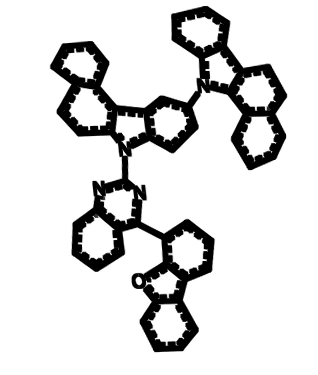 c1ccc2c(c1)ccc1c2c2cc(-n3c4ccccc4c4ccc5ccccc5c43)ccc2n1-c1nc(-c2cccc3c2oc2ccccc23)c2ccccc2n1